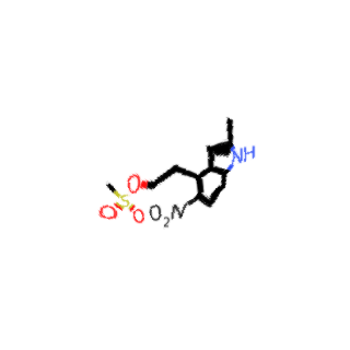 Cc1cc2c(CCOS(C)(=O)=O)c([N+](=O)[O-])ccc2[nH]1